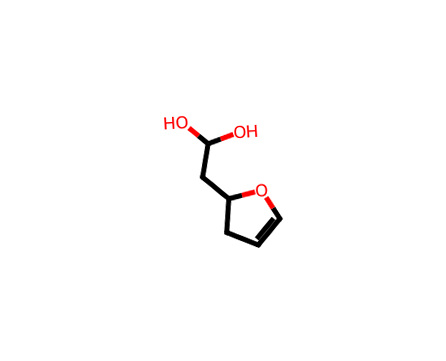 OC(O)CC1CC=CO1